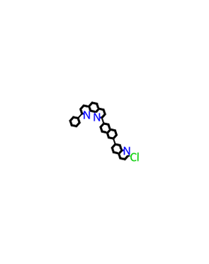 Clc1ccc2ccc(-c3ccc4cc(-c5ccc6ccc7ccc(-c8ccccc8)nc7c6n5)ccc4c3)cc2n1